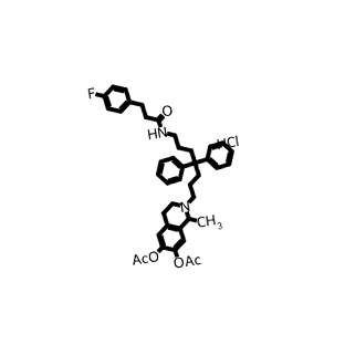 CC(=O)Oc1cc2c(cc1OC(C)=O)C(C)N(CCCC(CCCNC(=O)CCc1ccc(F)cc1)(c1ccccc1)c1ccccc1)CC2.Cl